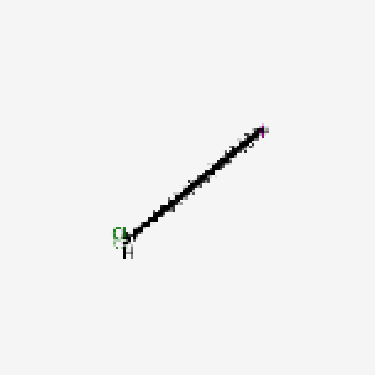 Cl[SiH](Cl)CCCCCCCCCCCCCCCCCCCCCCCCCCCCCCCCCCCCI